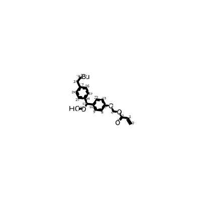 C=CC(=O)OCOc1ccc(C(OO)c2ccc(CC(C)CC)cc2)cc1